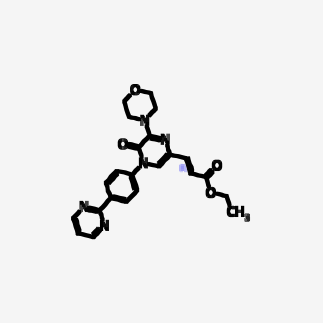 CCOC(=O)/C=C/c1cn(-c2ccc(-c3ncccn3)cc2)c(=O)c(N2CCOCC2)n1